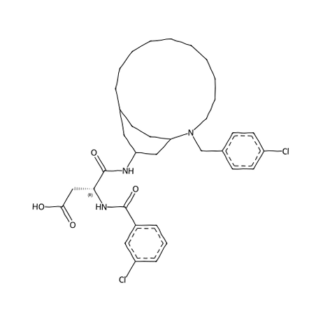 O=C(O)C[C@@H](NC(=O)c1cccc(Cl)c1)C(=O)NC1CC2CCCCCCCCCCN(Cc3ccc(Cl)cc3)C(CC2)C1